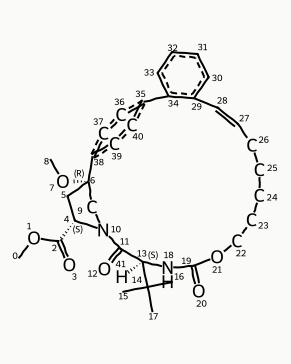 COC(=O)[C@@H]1C[C@]2(OC)CN1C(=O)[C@H](C(C)(C)C)NC(=O)OCCCCCC=Cc1ccccc1-c1ccc2cc1